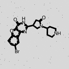 O=C1CC(c2nc3c(oc4ccc(Br)cc43)c(=O)[nH]2)CN1C1CCNCC1